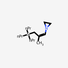 CCC[Si](CCC)(CCC)CC(C)=CN1CC1